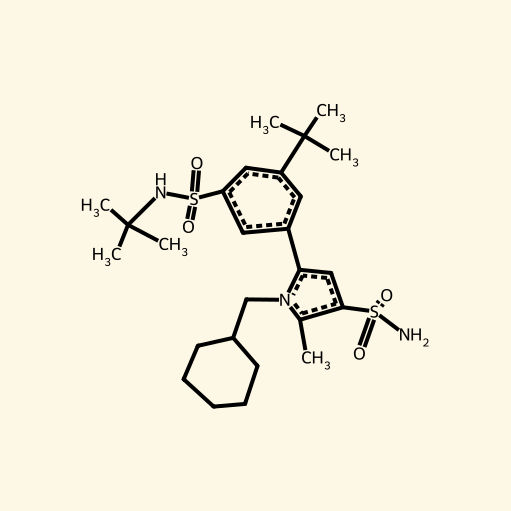 Cc1c(S(N)(=O)=O)cc(-c2cc(C(C)(C)C)cc(S(=O)(=O)NC(C)(C)C)c2)n1CC1CCCCC1